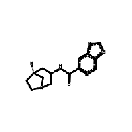 O=C(N[C@@H]1C[C@@H]2CCN(C2)C1)c1cc2ncoc2cn1